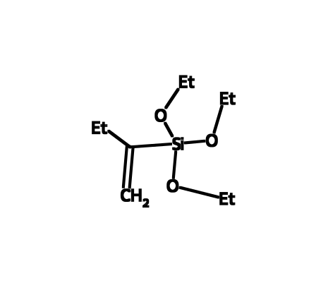 C=C(CC)[Si](OCC)(OCC)OCC